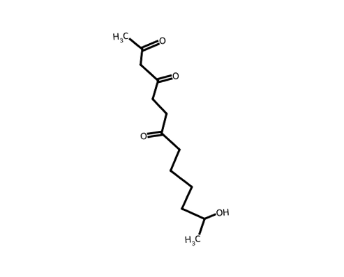 CC(=O)CC(=O)CCC(=O)CCCCC(C)O